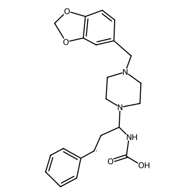 O=C(O)NC(C[CH]c1ccccc1)N1CCN(Cc2ccc3c(c2)OCO3)CC1